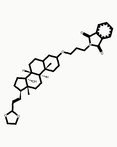 C[C@]12CCC(OCCCN3C(=O)c4ccccc4C3=O)CC1CC[C@@H]1[C@@H]2CC[C@]2(C)[C@@H](/C=C/C3OCCO3)CC[C@@]12O